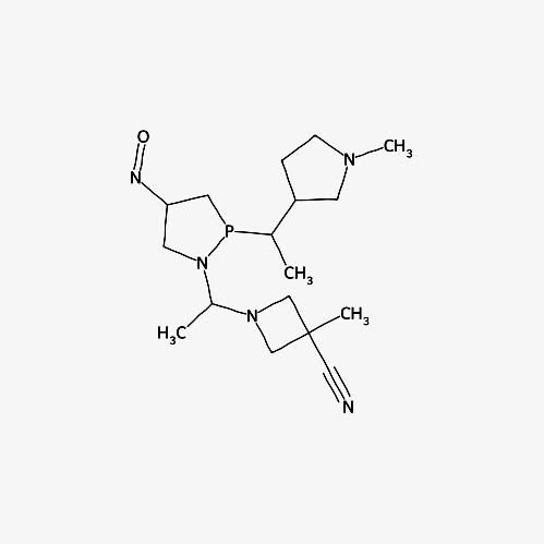 CC(N1CC(C)(C#N)C1)N1CC(N=O)CP1C(C)C1CCN(C)C1